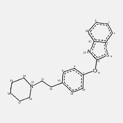 c1ccc2sc(Oc3ccc(CCN4CCCCC4)cc3)nc2c1